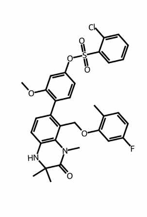 COc1cc(OS(=O)(=O)c2ccccc2Cl)ccc1-c1ccc2c(c1COc1cc(F)ccc1C)N(C)C(=O)C(C)(C)N2